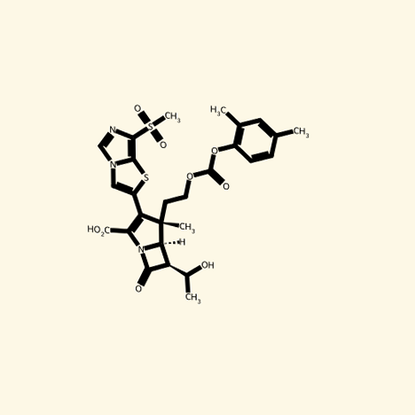 Cc1ccc(OC(=O)OCC[C@@]2(C)C(c3cn4cnc(S(C)(=O)=O)c4s3)=C(C(=O)O)N3C(=O)[C@H](C(C)O)[C@@H]32)c(C)c1